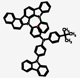 CC(C)(C)c1ccc(N(c2ccc(-n3c4ccccc4c4ccccc43)cc2)c2ccc(-n3c4ccc5ccccc5c4c4ccc5c6ccccc6n(-c6ccccc6)c5c43)cc2)cc1